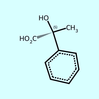 C[C@@](O)(C(=O)O)c1ccccc1